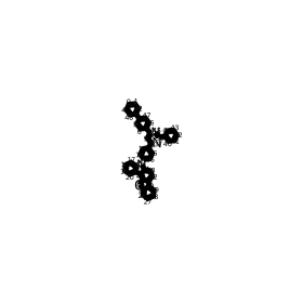 c1ccc(-c2ccc(-c3cc(-c4ccc(-n5c6ccccc6c6c7oc8ccccc8c7ccc65)cc4)nc(-c4ccccc4)n3)cc2)cc1